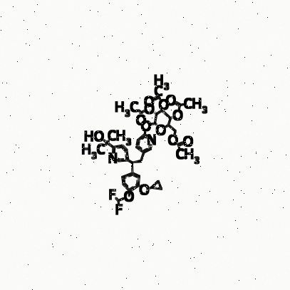 CC(=O)OCC1O[C@@H](Oc2ccc(C[C@H](c3ccc(C(C)(C)O)nc3)c3ccc(OC(F)F)c(OC4CC4)c3)cn2)[C@H](OC(C)=O)C(OC(C)=O)[C@@H]1OC(C)=O